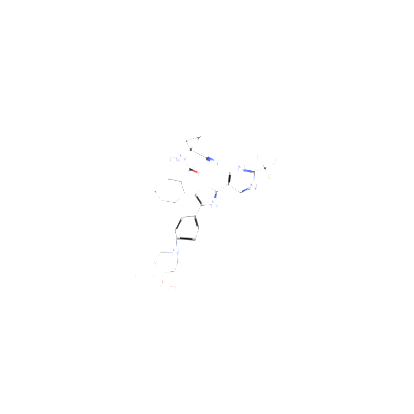 N#CC1(NC(=O)[C@@H]2CCCC[C@H]2c2oc(-c3cnc(C(F)(F)F)nc3)nc2-c2ccc(N3CCS(O)(O)CC3)cc2)CC1